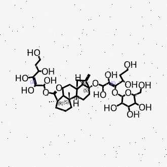 C=C1CC23CCC4[C@](C)(C(=O)OC(O)/C(O)=C(/O)C(O)CCO)CCC[C@@]4(C)[C@@H]2CC[C@]1(OC(O)/C(O)=C(\OC1OC(CO)C(O)C(O)C1O)C(O)CCO)[C@@H]3C